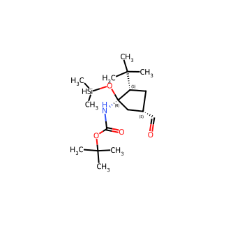 C[SiH](C)O[C@]1(NC(=O)OC(C)(C)C)C[C@@H](C=O)C[C@H]1C(C)(C)C